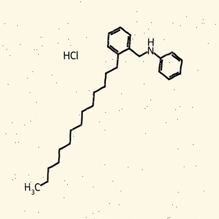 CCCCCCCCCCCCCCc1ccccc1CNc1ccccc1.Cl